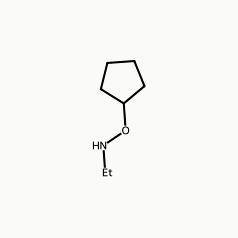 CCNOC1CCCC1